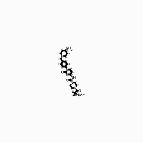 CNC(C)(C)C(=O)N1CCN(C(=O)Nc2ccn(-c3ccc(CN4CCC(N)CC4)cc3)c(=O)n2)CC1